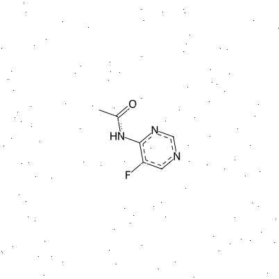 CC(=O)Nc1ncncc1F